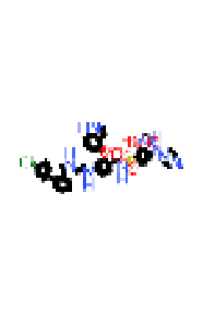 CC(NCCNc1ccc(C(=O)NS(=O)(=O)c2ccc(NN3CCN(C)CC3)c([N+](C)([O-])O)c2)c(Oc2cccc3[nH]ccc23)c1)c1ccccc1-c1ccc(Cl)cc1